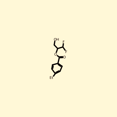 CCc1ccc(C(=O)OC(CO)C(F)F)cc1